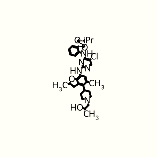 Cc1cc(Nc2ncc(Cl)c(Nc3ccccc3S(=O)(=O)C(C)C)n2)c2c(c1C1CCN(CC(C)O)CC1)CC(C)O2